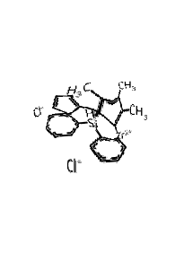 CC1=C(C)C(C2=CC=CC2)([SiH](c2ccccc2)c2ccccc2)[C]([Zr+2])=C1C.[Cl-].[Cl-]